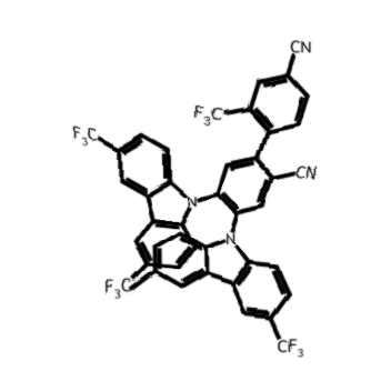 Cc1ccc2c(c1)c1cc(C(F)(F)F)ccc1n2-c1cc(C#N)c(-c2ccc(C#N)cc2C(F)(F)F)cc1-n1c2ccc(C(F)(F)F)cc2c2cc(C(F)(F)F)ccc21